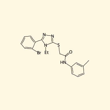 CCn1c(SCC(=O)Nc2cccc(C)c2)nnc1-c1ccccc1Br